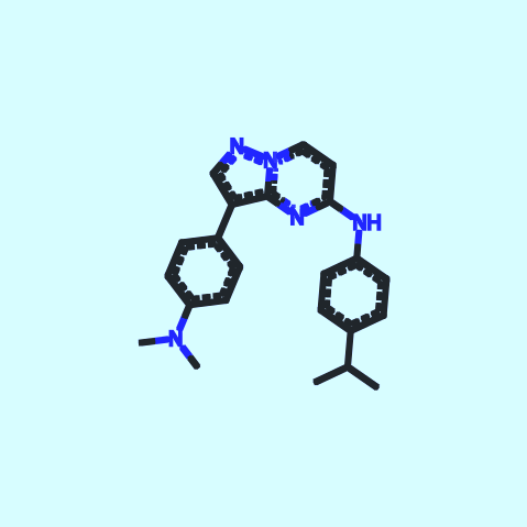 CC(C)c1ccc(Nc2ccn3ncc(-c4ccc(N(C)C)cc4)c3n2)cc1